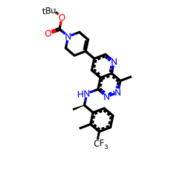 Cc1c([C@@H](C)Nc2nnc(C)c3ncc(C4=CCN(C(=O)OC(C)(C)C)CC4)cc23)cccc1C(F)(F)F